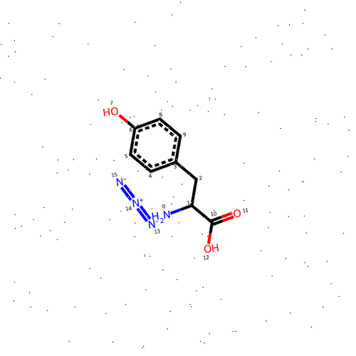 NC(Cc1ccc(O)cc1)C(=O)O.[N-]=[N+]=[N-]